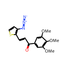 COc1cc(C(=O)C=Cc2sccc2N=[N+]=[N-])cc(OC)c1OC